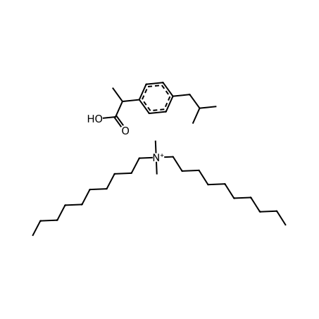 CC(C)Cc1ccc(C(C)C(=O)O)cc1.CCCCCCCCCC[N+](C)(C)CCCCCCCCCC